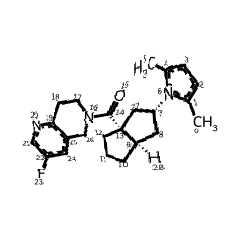 Cc1ccc(C)n1[C@@H]1C[C@H]2CCC[C@@]2(C(=O)N2CCc3ncc(F)cc3C2)C1